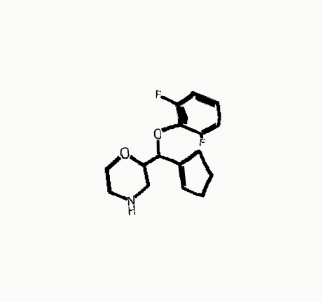 Fc1cccc(F)c1OC(C1=CCCC1)C1CNCCO1